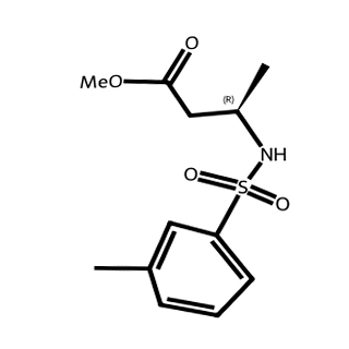 COC(=O)C[C@@H](C)NS(=O)(=O)c1cccc(C)c1